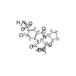 CC(=O)Sc1cc(Cl)c(S(N)(=O)=O)cc1C(=O)N(CC(=O)O)C1CCCC1